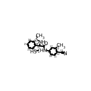 CSN[C@@](CS)(C(=O)Nc1ccc(C#N)c(C)c1)c1ccccc1